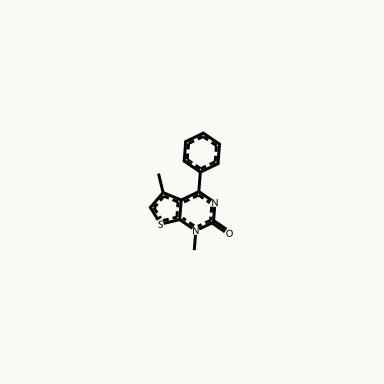 Cc1csc2c1c(-c1ccccc1)nc(=O)n2C